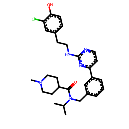 CC(C)N(Cc1cccc(-c2ccnc(NCCc3ccc(O)c(Cl)c3)n2)c1)C(=O)C1CCN(C)CC1